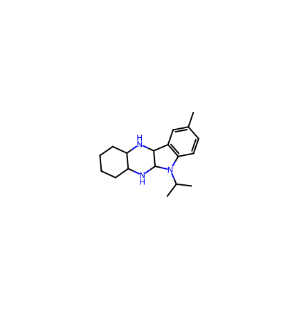 Cc1ccc2c(c1)C1NC3CCCCC3NC1N2C(C)C